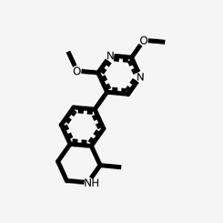 COc1ncc(-c2ccc3c(c2)C(C)NCC3)c(OC)n1